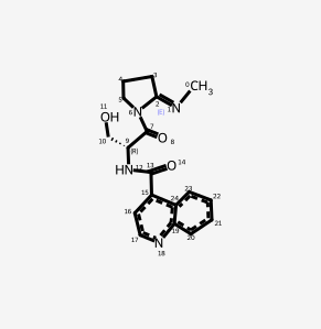 C/N=C1\CCCN1C(=O)[C@@H](CO)NC(=O)c1ccnc2ccccc12